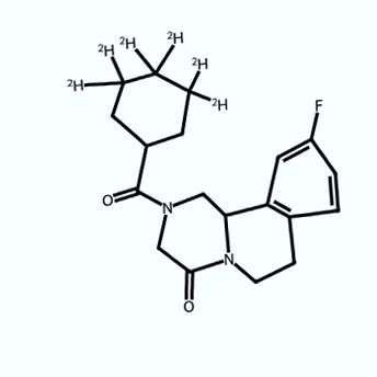 [2H]C1([2H])CC(C(=O)N2CC(=O)N3CCc4ccc(F)cc4C3C2)CC([2H])([2H])C1([2H])[2H]